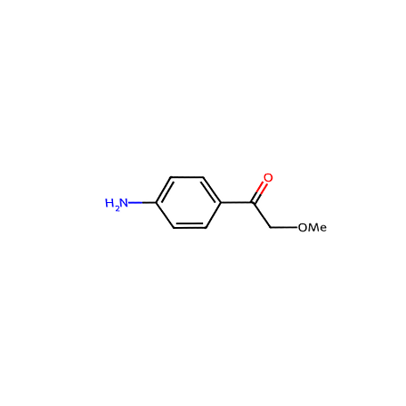 COCC(=O)c1ccc(N)cc1